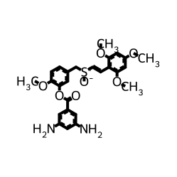 COc1cc(OC)c(/C=C/[S+]([O-])Cc2ccc(OC)c(OC(=O)c3cc(N)cc(N)c3)c2)c(OC)c1